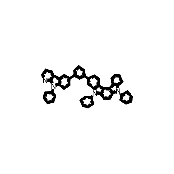 c1ccc(-n2c3ccccc3c3c4c5ccc(-c6cccc(-c7ccc8c(c7)c7cccnc7n8-c7ccccc7)c6)cc5n(-c5ccccc5)c4ccc32)cc1